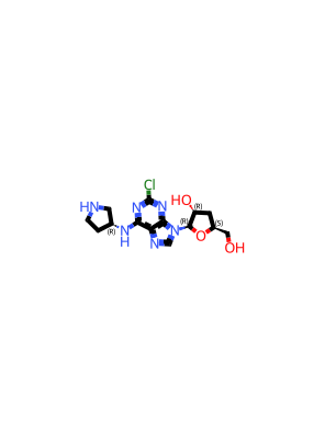 OC[C@@H]1C[C@@H](O)[C@H](n2cnc3c(N[C@@H]4CCNC4)nc(Cl)nc32)O1